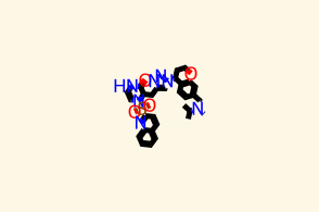 CC(C)N(C)Cc1ccc2c(c1)OCCC2n1cc(CC2C(=O)NC=CN2S(=O)(=O)c2ccc3ccccc3n2)nn1